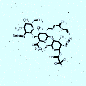 C=C(COC[C@@H]1C(O[C@@H]2C(CC)OC(OC(=N)C(Cl)(Cl)Cl)[C@@H](N=[N+]=[N-])[C@H]2C)O[C@@H](C(C)=O)[C@@H](O[C@H]2O[C@@H](CC)[C@@H](C)[C@H](C)C2N=[N+]=[N-])[C@@H]1C)OC=O